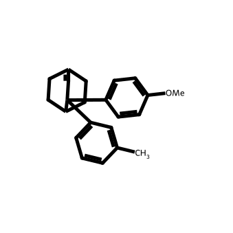 COc1ccc(C2(c3cccc(C)c3)C=C3CCC2CC3)cc1